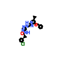 O=C(Nc1cc(NCc2cn3cc(C4CC4)cc(OCc4ccccc4)c3n2)ncn1)[C@H]1C[C@@H]1c1cccc(Cl)c1